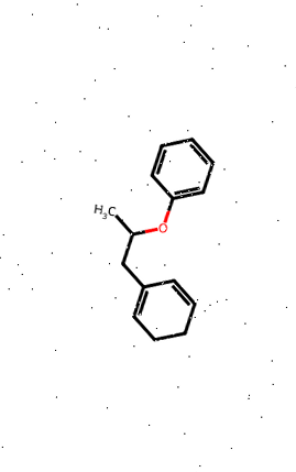 CC(CC1=CCCC=C1)Oc1ccccc1